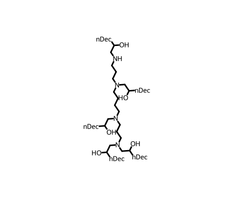 CCCCCCCCCCC(O)CNCCCN(CCCCN(CCCN(CC(O)CCCCCCCCCC)CC(O)CCCCCCCCCC)CC(O)CCCCCCCCCC)CC(O)CCCCCCCCCC